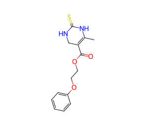 CC1=C(C(=O)OCCOc2ccccc2)CNC(=S)N1